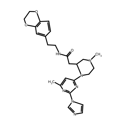 Cc1cc(N2CCN(C)CC2CC(=O)NCCc2ccc3c(c2)OCCO3)nc(-n2ccnc2)n1